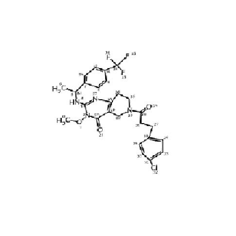 COn1c(N[C@@H](C)c2ccc(C(F)(F)F)cc2)nc2c(c1=O)CN(C(=O)CCc1ccc(Cl)cc1)CC2